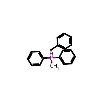 C[PH](Cc1ccccc1)(c1ccccc1)c1ccccc1